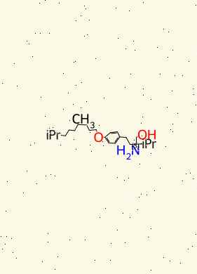 CC(C)CCCC(C)CCCOc1ccc(CC[C@@](N)(CO)C(C)C)cc1